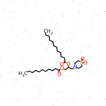 CCCCCCCCCCCC(=O)OC(COC(=O)CCCCCCCCCC)CN1CCS(=O)(=O)CC1